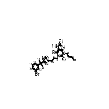 CCCCn1c(=O)n(CCCc2nc(C(C)(C)c3cccc(Br)c3)no2)c(=O)c2[nH]c(Cl)nc21